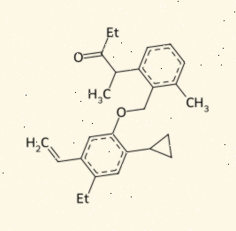 C=Cc1cc(OCc2c(C)cccc2C(C)C(=O)CC)c(C2CC2)cc1CC